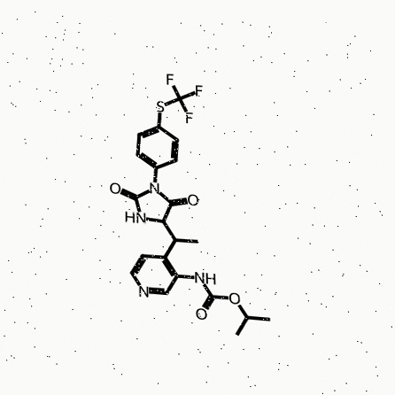 CC(C)OC(=O)Nc1cnccc1C(C)C1NC(=O)N(c2ccc(SC(F)(F)F)cc2)C1=O